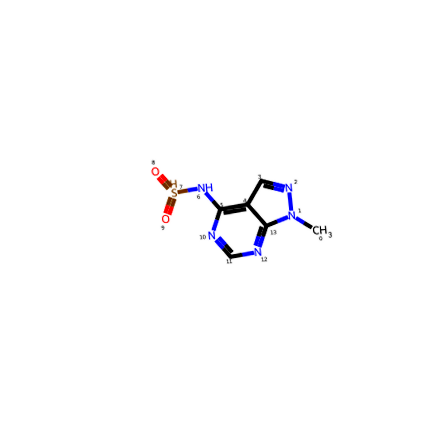 Cn1ncc2c(N[SH](=O)=O)ncnc21